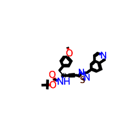 COc1ccc(C[C@@H](C#Cc2nc(-c3ccc4cnccc4c3)ns2)NC(=O)OC(C)(C)C)cc1